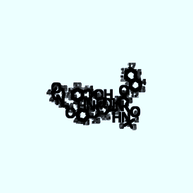 CC(C)(C)NC(=O)C1C[C@H](Oc2cccc3ccccc23)CN1C[C@@H](O)C[C@@H](Cc1ccc(OCCN2CCOCC2)cc1)C(=O)N[C@H]1c2ccccc2C[C@H]1O